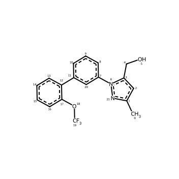 Cc1cc(CO)n(-c2cccc(-c3ccccc3OC(F)(F)F)c2)n1